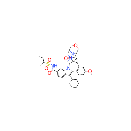 CCC(C)S(=O)(=O)NC(=O)c1ccc2c(C3CCCCC3)c3n(c2c1)CC1(C(=O)N2C4COCC2CN(C)C4)CC1c1cc(OC)ccc1-3